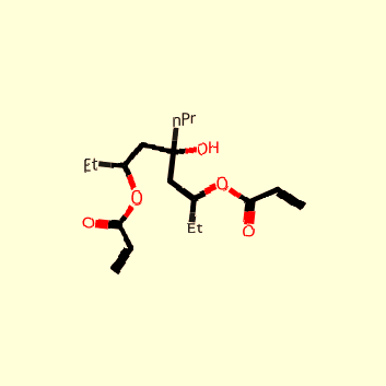 [CH2]CCC(O)(CC(CC)OC(=O)C=C)CC(CC)OC(=O)C=C